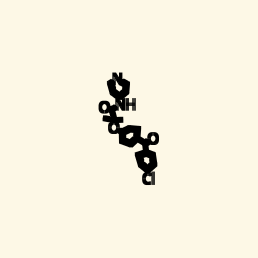 CC(C)(Oc1ccc(C(=O)c2ccc(Cl)cc2)cc1)C(=O)Nc1ccncc1